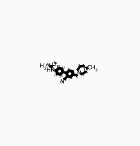 CN1CCCN(Cc2ccc(-c3ccc(NC(N)=O)cc3)c(C#N)c2)CC1